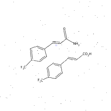 NC(=O)/C=C/c1ccc(C(F)(F)F)cc1.O=C(O)C=Cc1ccc(C(F)(F)F)cc1